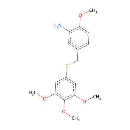 COc1ccc(CSc2cc(OC)c(OC)c(OC)c2)cc1N